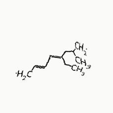 [CH2]/C=C/C=C(\CC)CC([CH2])C